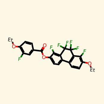 CCOc1ccc(C(=O)Oc2ccc3c(c2F)C(F)(F)C(F)(F)c2c-3ccc(OCC)c2F)cc1F